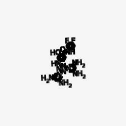 N[C@@H]1C[C@H](N)CN(c2nc(Nc3ccc(C(=O)Nc4ccc(F)c(F)c4)c(O)c3)nc(N3C[C@H](N)C[C@H](N)C3)n2)C1